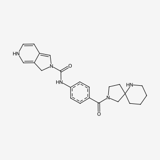 O=C(Nc1ccc(C(=O)N2CCC3(CCCCN3)C2)cc1)N1C=C2C=CNC=C2C1